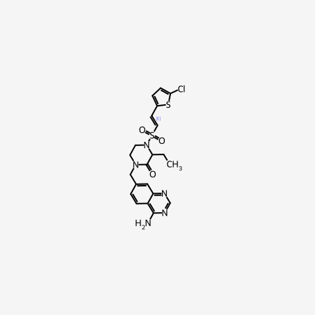 CCC1C(=O)N(Cc2ccc3c(N)ncnc3c2)CCN1S(=O)(=O)/C=C/c1ccc(Cl)s1